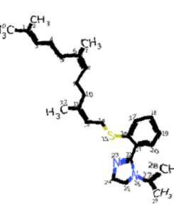 CC(C)=CCCC(C)=CCCC(C)=CCSc1ccccc1C1=NCCN1C(C)C